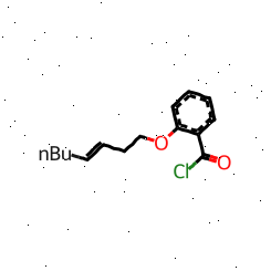 CCCCC=CCCOc1ccccc1C(=O)Cl